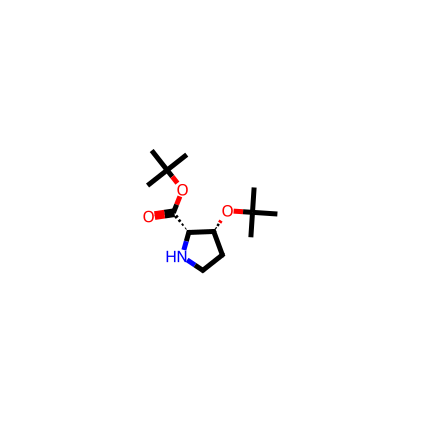 CC(C)(C)OC(=O)[C@H]1NCC[C@H]1OC(C)(C)C